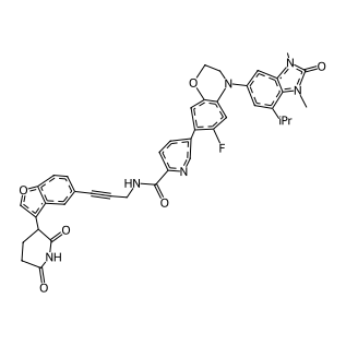 CC(C)c1cc(N2CCOc3cc(-c4ccc(C(=O)NCC#Cc5ccc6occ(C7CCC(=O)NC7=O)c6c5)nc4)c(F)cc32)cc2c1n(C)c(=O)n2C